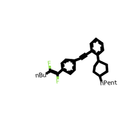 CCCCCC1CCC(c2ccccc2C#Cc2ccc(/C(F)=C(\F)CCCC)cc2)CC1